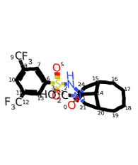 O=C(NS(=O)(=O)c1cc(C(F)(F)F)cc(C(F)(F)F)c1)C1C2CCCCC1CN(C(=O)O)C2